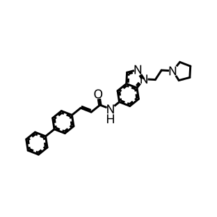 O=C(/C=C/c1ccc(-c2ccccc2)cc1)Nc1ccc2c(cnn2CCN2CCCC2)c1